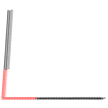 [Fe+3].[Fe+3].[Fe+3].[Fe+3].[Fe+3].[Fe+3].[Fe+3].[Fe+3].[Fe+3].[Fe+3].[Fe+3].[Fe+3].[Fe+3].[Fe+3].[Fe+3].[Fe+3].[Fe+3].[Fe+3].[Fe+3].[Fe+3].[Fe+3].[Fe+3].[Fe+3].[Fe+3].[Fe+3].[Fe+3].[Fe+3].[Fe+3].[Fe+3].[Fe+3].[Fe+3].[Fe+3].[Fe+3].[Fe+3].[Fe+3].[Fe+3].[Fe+3].[Fe+3].[Fe+3].[Fe+3].[Fe+3].[Fe+3].[Fe+3].[Fe+3].[Fe+3].[Fe+3].[Fe+3].[Fe+3].[Fe+3].[Fe+3].[Fe+3].[Fe+3].[Fe+3].[Fe+3].[Fe+3].[Fe+3].[Fe+3].[Fe+3].[Fe+3].[Fe+3].[Fe+3].[Fe+3].[Fe+3].[Fe+3].[Fe+3].[Fe+3].[Fe+3].[Fe+3].[Fe+3].[Fe+3].[Fe+3].[Fe+3].[Fe+3].[Fe+3].[Fe+3].[Fe+3].[Fe+3].[Fe+3].[Fe+3].[Fe+3].[Fe+3].[Fe+3].[Fe+3].[Fe+3].[O-2].[O-2].[O-2].[O-2].[O-2].[O-2].[O-2].[O-2].[O-2].[O-2].[O-2].[O-2].[O-2].[O-2].[O-2].[O-2].[O-2].[O-2].[O-2].[O-2].[O-2].[O-2].[O-2].[O-2].[O-2].[O-2].[O-2].[O-2].[O-2].[O-2].[O-2].[O-2].[O-2].[O-2].[O-2].[O-2].[O-2].[O-2].[O-2].[O-2].[O-2]